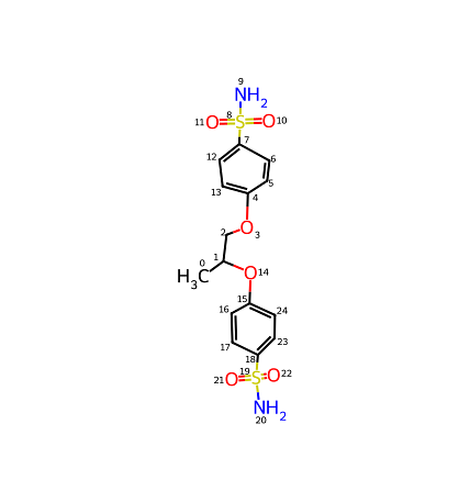 CC(COc1ccc(S(N)(=O)=O)cc1)Oc1ccc(S(N)(=O)=O)cc1